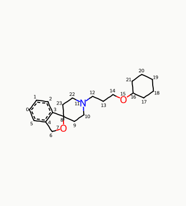 c1ccc2c(c1)COC21CCN(CCCOC2CCCCC2)CC1